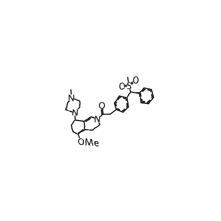 COC1=C2CCN(C(=O)Cc3ccc(C(c4ccccc4)S(C)(=O)=O)cc3)C=C2C(N2CCN(C)CC2)CC1